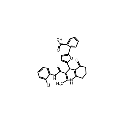 CC1=C(C(=O)Nc2ccccc2Cl)C(c2ccc(-c3ccccc3[N+](=O)O)o2)C2=C(CCCC2=O)N1